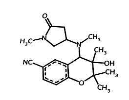 CN1CC(N(C)C2c3cc(C#N)ccc3OC(C)(C)C2(C)O)CC1=O